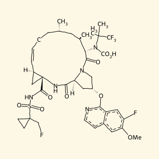 COc1cc2ccnc(O[C@@H]3C[C@H]4C(=O)N[C@]5(C(=O)NS(=O)(=O)C6(CF)CC6)C[C@H]5/C=C\CC[C@H](C)C[C@@H](C)[C@H](N(C(=O)O)C(C)(C)C(F)(F)F)C(=O)N4C3)c2cc1F